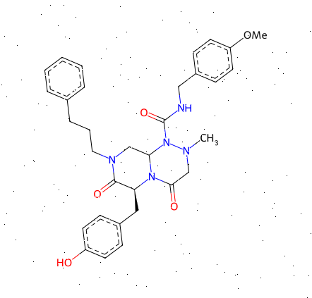 COc1ccc(CNC(=O)N2C3CN(CCCc4ccccc4)C(=O)[C@H](Cc4ccc(O)cc4)N3C(=O)CN2C)cc1